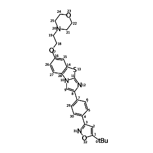 CC(C)(C)c1cc(-c2c[c]c(-c3cn4c(n3)sc3cc(OCCN5CCOCC5)ccc34)cc2)no1